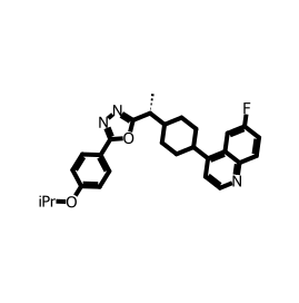 CC(C)Oc1ccc(-c2nnc([C@H](C)C3CCC(c4ccnc5ccc(F)cc45)CC3)o2)cc1